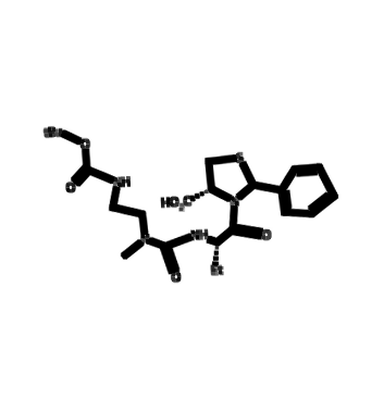 CC[C@H](NC(=O)N(C)CCNC(=O)OC(C)(C)C)C(=O)N1C(c2ccccc2)SC[C@H]1C(=O)O